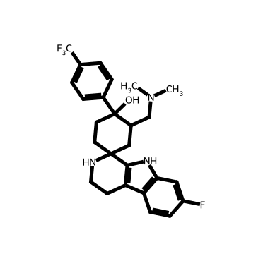 CN(C)CC1CC2(CCC1(O)c1ccc(C(F)(F)F)cc1)NCCc1c2[nH]c2cc(F)ccc12